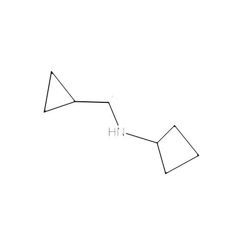 C1CC(NCC2CC2)C1